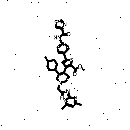 COC(=O)c1sc(-c2ccc(NC(=O)c3cscn3)cc2)cc1C1=C(C2CCC(C)CC2)CN(Cc2nc3nc(C)cc(C)n3n2)CC1